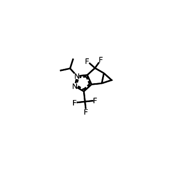 CC(C)n1nc(C(F)(F)F)c2c1C(F)(F)C1CC21